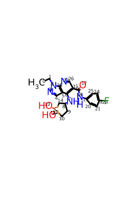 CCn1ncc2c(NC3CCS(O)(O)C3)c(C(=O)Nc3ccc(F)cc3)cnc21